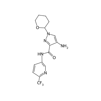 Nc1cn(C2CCCCO2)nc1C(=O)Nc1ccc(C(F)(F)F)nc1